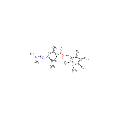 CCN(C)/C=N/c1cc(C)c(C(=O)OCc2c(C)c(C)c(C)c(C)c2C)cc1C